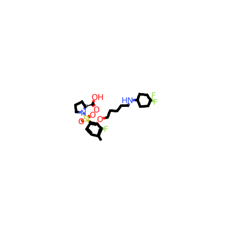 Cc1ccc(S(=O)(=O)N2CCC[C@H]2C(=O)O)c(OCCCCCNC2CCC(F)(F)CC2)c1F